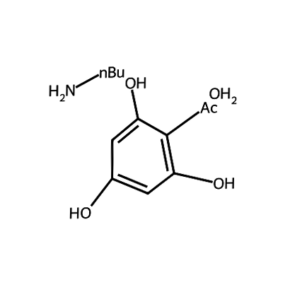 CC(=O)c1c(O)cc(O)cc1O.CCCCN.O